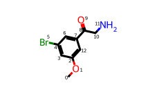 COc1cc(Br)cc(C(=O)CN)c1